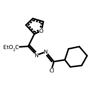 CCOC(=O)C(=NN=C(Cl)C1CCCCC1)c1ccco1